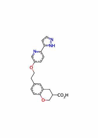 O=C(O)C1COc2ccc(CCOc3ccc(-c4ccn[nH]4)nc3)cc2C1